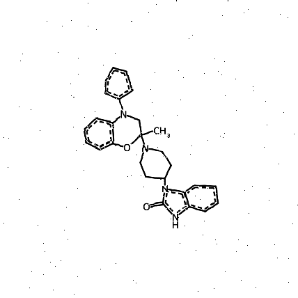 CC1(N2CCC(n3c(=O)[nH]c4ccccc43)CC2)CN(c2ccccc2)c2ccccc2O1